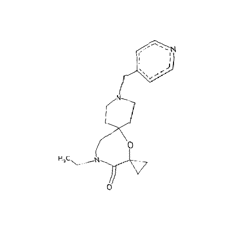 CCN1CC2(CCN(Cc3ccncc3)CC2)OC2(CC2)C1=O